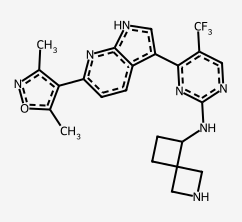 Cc1noc(C)c1-c1ccc2c(-c3nc(NC4CCC45CNC5)ncc3C(F)(F)F)c[nH]c2n1